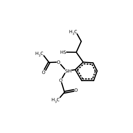 CCC(S)c1ccccc1[SiH](OC(C)=O)OC(C)=O